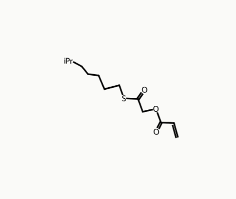 C=CC(=O)OCC(=O)SCCCCCC(C)C